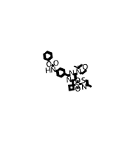 Cc1csc(S(=O)(=O)C2(c3cc(N4CCOC[C@@H]4C)nc(-c4ccc(NC(=O)Oc5ccccc5)cc4)n3)CCC2)n1